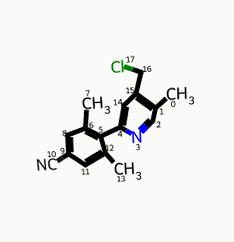 Cc1cnc(-c2c(C)cc(C#N)cc2C)cc1CCl